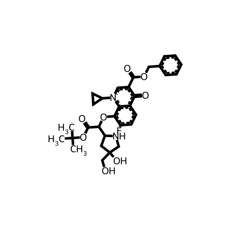 CC(C)(C)OC(=O)C(Oc1c(F)ccc2c(=O)c(C(=O)OCc3ccccc3)cn(C3CC3)c12)C1CC(O)(CO)CN1